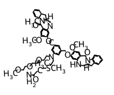 COCCOCCOCCN(CC(C)(C)SCCCC(N)=O)c1cc(COc2cc3c(cc2OC)C(=O)N2[C@@H](C=N3)CC3C=CC=CC32C)cc(COc2cc3c(cc2OC)C(=O)N2c4ccccc4C[C@H]2CN3)c1